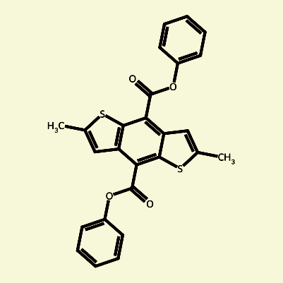 Cc1cc2c(C(=O)Oc3ccccc3)c3sc(C)cc3c(C(=O)Oc3ccccc3)c2s1